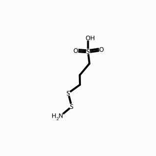 NSSCCCS(=O)(=O)O